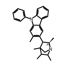 Cc1cc2c(cc1C1[C@@H](C)N3CC1(C)C(C)C3C)c1ccccc1n2-c1ccccc1